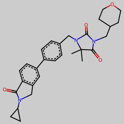 CC1(C)C(=O)N(CC2CCOCC2)C(=O)N1Cc1ccc(-c2ccc3c(c2)CN(C2CC2)C3=O)cc1